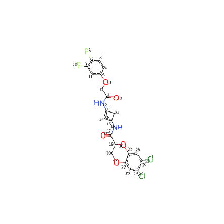 O=C(COc1ccc(F)c(F)c1)NC12CC(NC(=O)C3COc4cc(Cl)c(Cl)cc4O3)(C1)C2